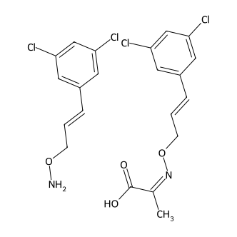 C/C(=N/OC/C=C/c1cc(Cl)cc(Cl)c1)C(=O)O.NOC/C=C/c1cc(Cl)cc(Cl)c1